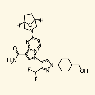 NC(=O)c1cn(-c2cn(C3CCC(CO)CC3)nc2C(F)F)[n+]2ccc(N3C[C@H]4CC[C@@H](C3)O4)nc12